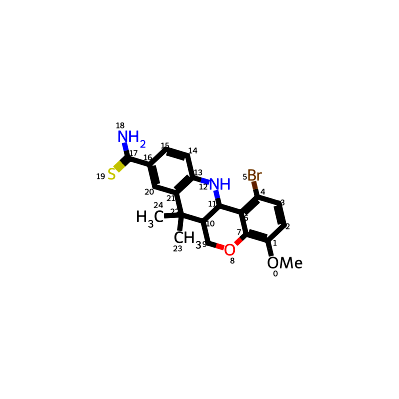 COc1ccc(Br)c2c1OCC1C2Nc2ccc(C(N)=S)cc2C1(C)C